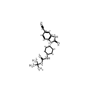 CC(C)(C)OC(=O)N[C@H]1CC[C@H](n2c(=O)[nH]c3cc(C#N)ccc32)CC1